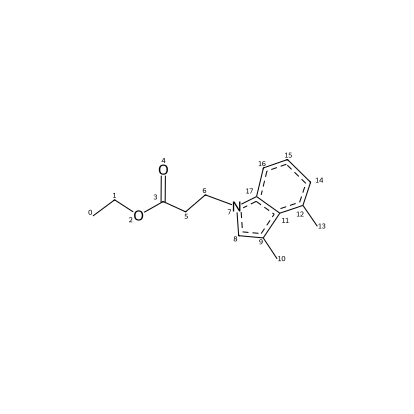 CCOC(=O)CCn1cc(C)c2c(C)cccc21